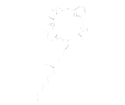 CCCCCCCC(=O)SCC/C=C/C1CC(=O)NCc2cccc(n2)C2=N[C@@](C)(CS2)C(=O)N[C@@H](C(C)C)C(=O)N1